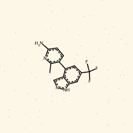 Cc1nc(N)ccc1-c1cc(C(F)(F)F)cc2[nH]ncc12